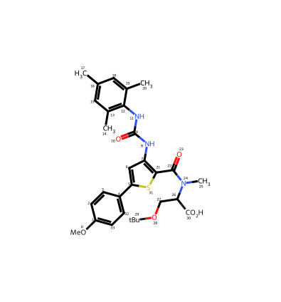 COc1ccc(-c2cc(NC(=O)Nc3c(C)cc(C)cc3C)c(C(=O)N(C)C(COC(C)(C)C)C(=O)O)s2)cc1